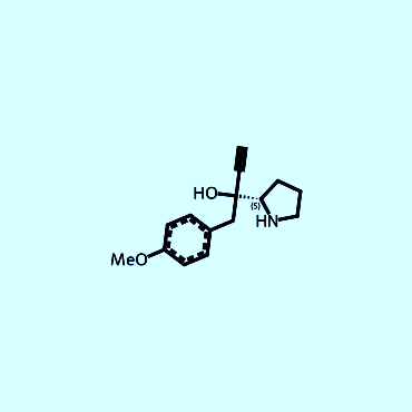 C#CC(O)(Cc1ccc(OC)cc1)[C@@H]1CCCN1